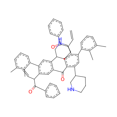 C=CC(C(=O)c1ccccc1)c1cc(C(=O)c2cc(C(C=C)C(=O)c3ccccc3)c(-c3cccc(C)c3C)cc2C2CCCNC2)c(C2CCCNC2)cc1-c1cccc(C)c1C